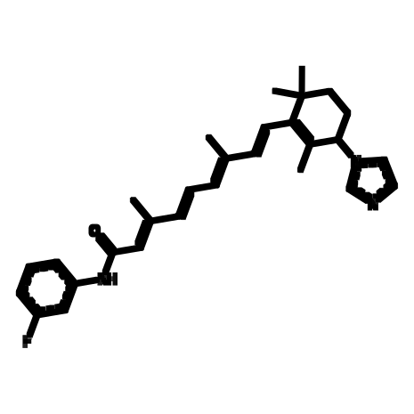 CC1=C(/C=C/C(C)=C/C=C/C(C)=C/C(=O)Nc2cccc(F)c2)C(C)(C)CCC1n1ccnc1